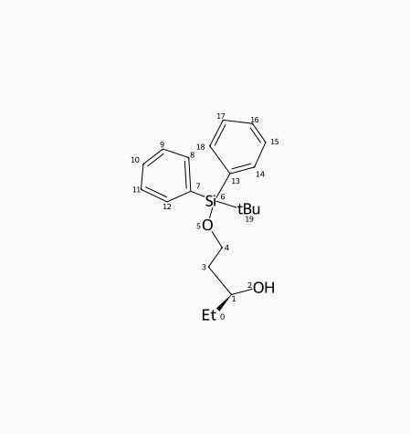 CC[C@H](O)CCO[Si](c1ccccc1)(c1ccccc1)C(C)(C)C